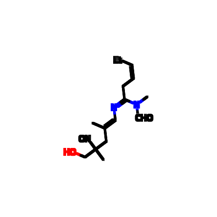 CC/C=C\C/C(=N/C=C(\C)CC(C)(CO)N=O)N(C)C=O